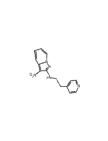 O=[N+]([O-])c1c(NCCc2ccncc2)nn2ccccc12